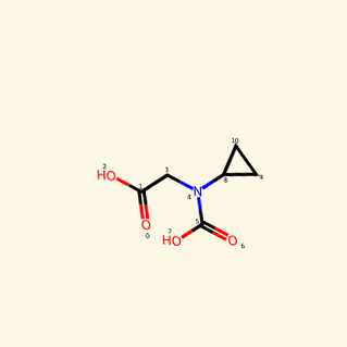 O=C(O)CN(C(=O)O)C1CC1